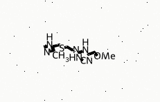 COCCN/C(=N/CCSCc1[nH]cnc1C)NC#N